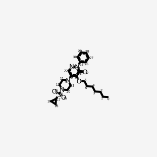 CCCCCCCOc1c(N2CCN(S(=O)(=O)C3CC3)CC2)cnn(-c2ccccc2)c1=O